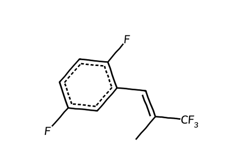 C/C(=C\c1cc(F)ccc1F)C(F)(F)F